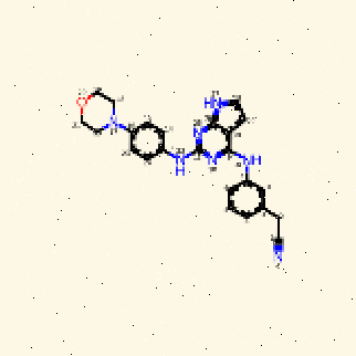 N#CCc1cccc(Nc2nc(Nc3ccc(N4CCOCC4)cc3)nc3[nH]ccc23)c1